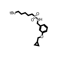 CC(C)(C)CCCCCS(=O)(=O)NCc1cccc(OCC2CC2)c1